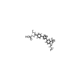 CCCN(CCC(=O)O)c1ccc(-c2noc(-c3ccc(OCCF)c(C(F)(F)F)c3)n2)cc1